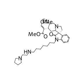 CC[C@H]1CN2CC[C@]3(C(=O)N(CCCCCCCNCCN4CCCC4)c4ccccc43)C2C[C@@H]1/C(=C\OC)C(=O)OC